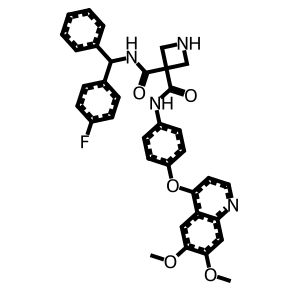 COc1cc2nccc(Oc3ccc(NC(=O)C4(C(=O)NC(c5ccccc5)c5ccc(F)cc5)CNC4)cc3)c2cc1OC